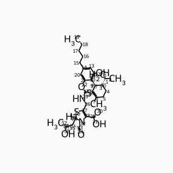 C=C(C)[C@@H]1CCC(C)=C[C@H]1c1c(O)cc(CCCCC)cc1OC(=S)NCC1=C(C(=O)O)N2C(=O)[C@H]([C@@H](C)O)[C@H]2S1